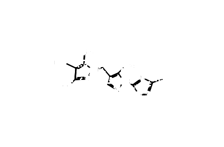 CC1=N[SH](CC2=C(C(C)(C)C)[SH](c3nc(C(C)C)no3)N=C2)C(C(C)(C)C)=C1C